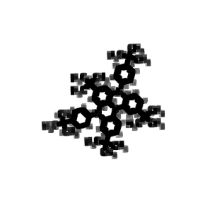 CC(C)(C)C1=CC=C(N2c3cc(C(C)(C)C)ccc3B3c4cc(C(C)(C)C)ccc4N(c4ccc(C(C)(C)C)cc4)c4cc(C(C)(C)C)cc2c43)CC1